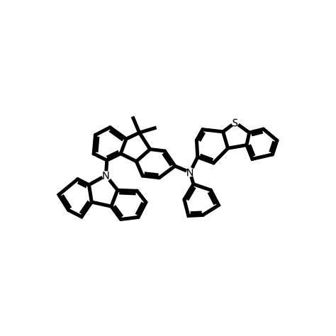 CC1(C)c2cccc(-n3c4ccccc4c4ccccc43)c2C2C=CC(N(C3=CC4c5ccccc5SC4C=C3)c3ccccc3)=CC21